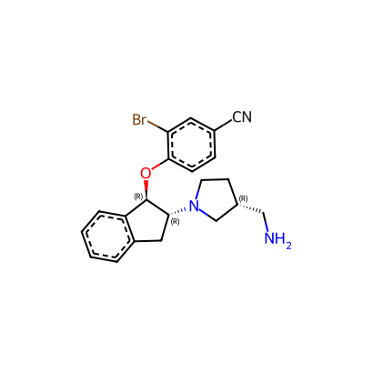 N#Cc1ccc(O[C@@H]2c3ccccc3C[C@H]2N2CC[C@H](CN)C2)c(Br)c1